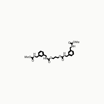 COC(=O)NCc1cccc(CNC(=O)OCCCOC(=O)NCc2cccc(CNC(=O)OC)c2)c1